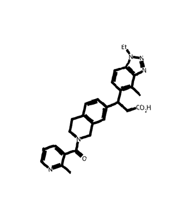 CCn1nnc2c(C)c(C(CC(=O)O)c3ccc4c(c3)CN(C(=O)c3cccnc3C)CC4)ccc21